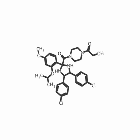 COc1ccc(C2(C(=O)N3CCN(C(=O)CO)CC3)NC(c3ccc(Cl)cc3)C(c3ccc(Cl)cc3)N2)c(OC(C)C)c1